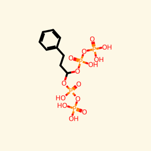 O=P(O)(O)OP(=O)(O)OC(CCc1ccccc1)OP(=O)(O)OP(=O)(O)O